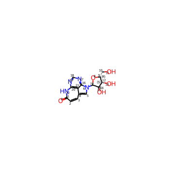 O=C1C=Cc2cn(C3O[C@H](CO)[C@@H](O)[C@H]3O)c3ncnc(c23)N1